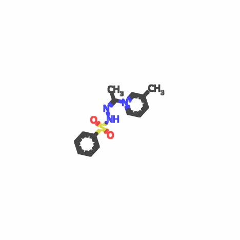 C/C(=N/NS(=O)(=O)c1ccccc1)[n+]1cccc(C)c1